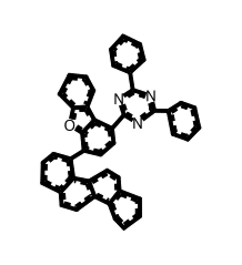 c1ccc(-c2nc(-c3ccccc3)nc(-c3ccc(-c4cccc5ccc6c7ccccc7ccc6c45)c4oc5ccccc5c34)n2)cc1